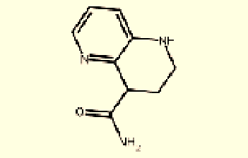 NC(=O)C1CCNc2cccnc21